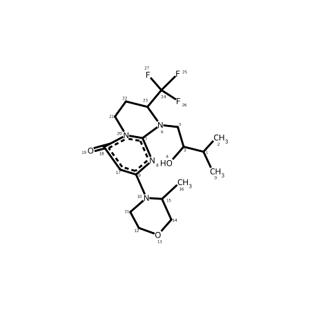 CC(C)C(O)CN1c2nc(N3CCOCC3C)cc(=O)n2CCC1C(F)(F)F